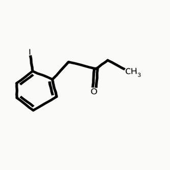 CCC(=O)Cc1ccccc1I